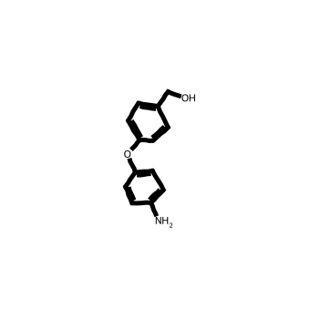 Nc1ccc(Oc2ccc(CO)cc2)cc1